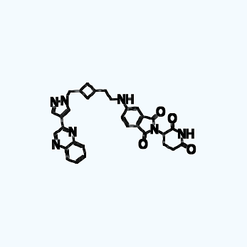 O=C1CCC(N2C(=O)c3ccc(NCCC4CC(Cn5cc(-c6cnc7ccccc7n6)cn5)C4)cc3C2=O)C(=O)N1